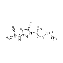 COc1ccc(N2N=C(NC(C)=O)CC2=O)cc1